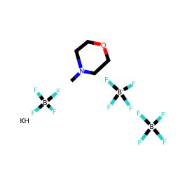 CN1CCOCC1.F[B-](F)(F)F.F[B-](F)(F)F.F[B-](F)(F)F.[KH]